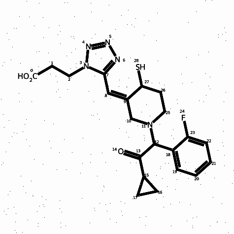 O=C(O)CCn1nnnc1C=C1CN(C(C(=O)C2CC2)c2ccccc2F)CCC1S